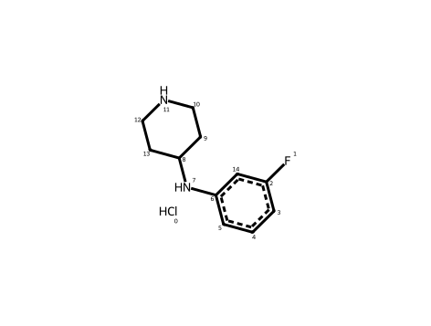 Cl.Fc1cccc(NC2CCNCC2)c1